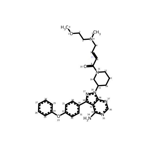 COCCN(C)C/C=C/C(=O)N1CCCC(n2nc(-c3ccc(Oc4ccccc4)cc3)c3c(N)ncnc32)C1